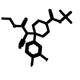 CCOC(=O)C(C#N)C1(c2ccc(F)c(F)c2)CCN(C(=O)OC(C)(C)C)CC1